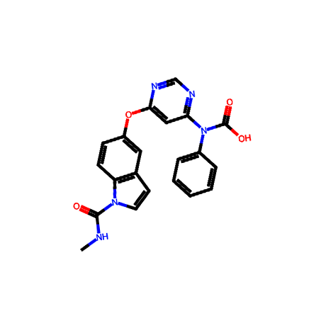 CNC(=O)n1ccc2cc(Oc3cc(N(C(=O)O)c4ccccc4)ncn3)ccc21